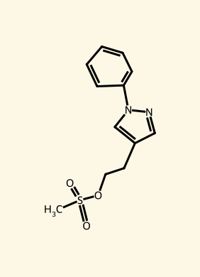 CS(=O)(=O)OCCc1cnn(-c2ccccc2)c1